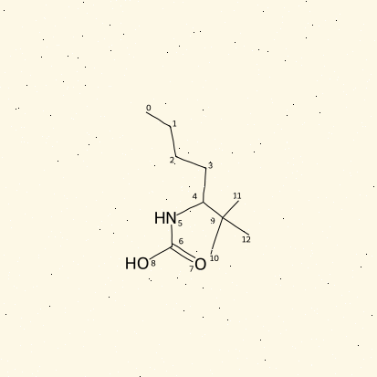 CCCCC(NC(=O)O)C(C)(C)C